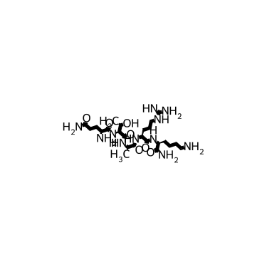 C[C@H](NC(=O)[C@@H](NC(=O)[C@@H](N)CCC(N)=O)[C@@H](C)O)C(=O)N[C@@H](CCCNC(=N)N)C(=O)N[C@@H](CCCCN)C(N)=O